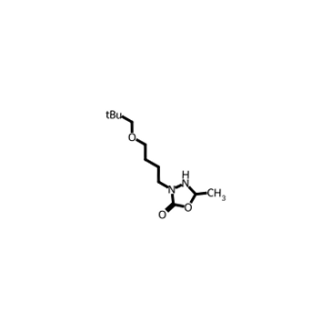 CC1NN(CCCCOCC(C)(C)C)C(=O)O1